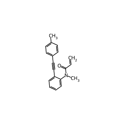 C=CC(=O)N(C)c1ccccc1C#Cc1ccc(C)cc1